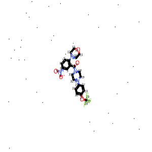 O=C(c1cc([N+](=O)[O-])ccc1N1CCOCC1)N1CCN(c2ccc(OC(F)(F)F)cc2)CC1